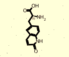 N[C@@H](Cc1ccc2[nH]c(=O)ccc2c1)C(=O)O